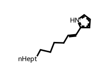 CCCCCCCCCCC/C=C/c1ccc[nH]1